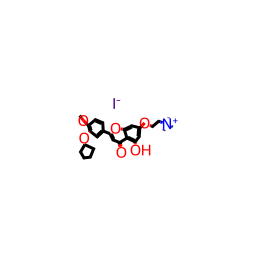 COc1ccc(-c2cc(=O)c3c(O)cc(OCC[N+](C)(C)C)cc3o2)cc1OC1CCCC1.[I-]